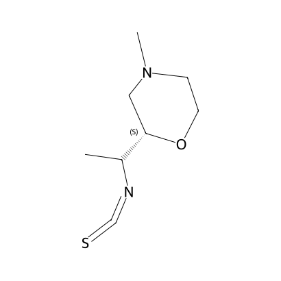 CC(N=C=S)[C@@H]1CN(C)CCO1